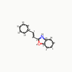 [c]1ccc2oc(C=Cc3ccccc3)nc2c1